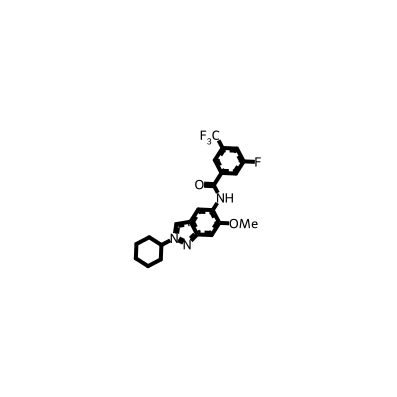 COc1cc2nn(C3CCCCC3)cc2cc1NC(=O)c1cc(F)cc(C(F)(F)F)c1